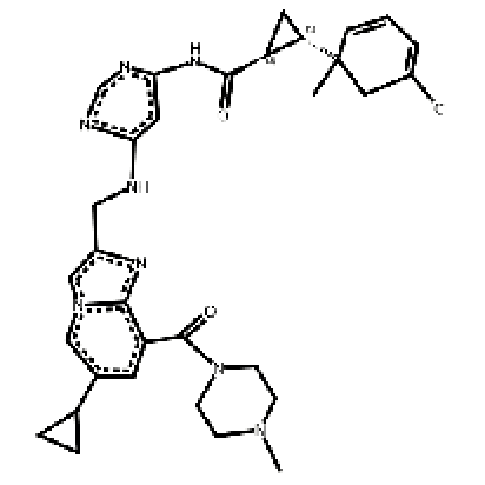 CN1CCN(C(=O)c2cc(C3CC3)cn3cc(CNc4cc(NC(=O)[C@H]5C[C@@H]5C5(C)C=CC=C(Cl)C5)ncn4)nc23)CC1